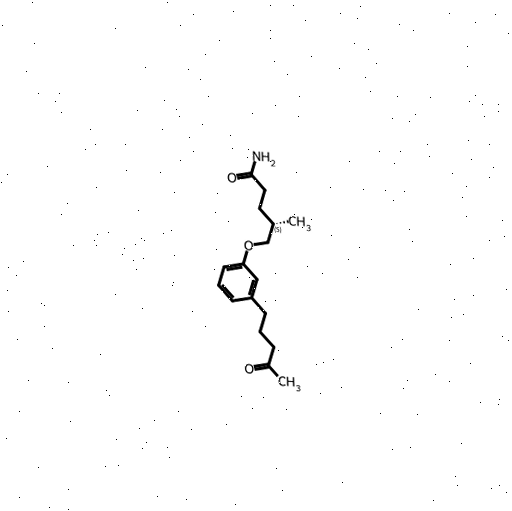 CC(=O)CCCc1cccc(OC[C@@H](C)CCC(N)=O)c1